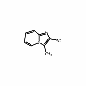 [CH2]c1c(CC)nc2ccccn12